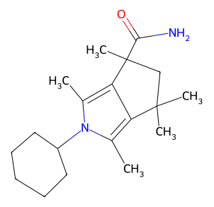 Cc1c2c(c(C)n1C1CCCCC1)C(C)(C(N)=O)CC2(C)C